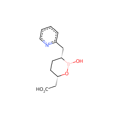 O=C(O)C[C@@H]1CC[C@H](Cc2ccccn2)B(O)O1